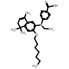 CCCCCCCOc1cc2c(cc1N(CC)c1ccc(C(=O)O)cc1)C(C)=CCC2(C)C